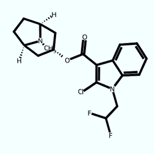 CN1[C@@H]2CC[C@H]1C[C@H](OC(=O)c1c(Cl)n(CC(F)F)c3ccccc13)C2